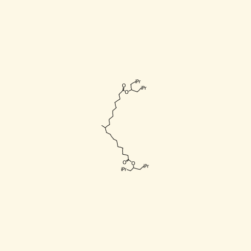 CC(C)CC(CC(C)C)OC(=O)CCCCCCCCC(C)CCCCCCCCC(=O)OC(CC(C)C)CC(C)C